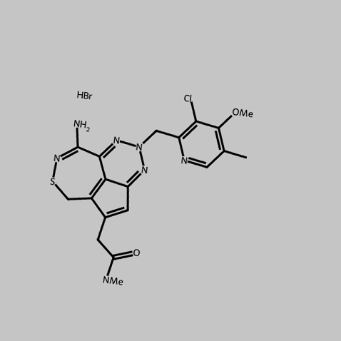 Br.CNC(=O)Cc1cc2nn(Cc3ncc(C)c(OC)c3Cl)nc3c-2c1CSN=C3N